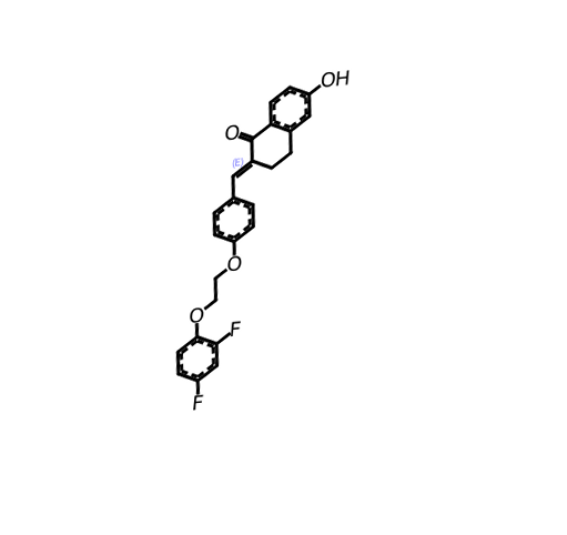 O=C1/C(=C/c2ccc(OCCOc3ccc(F)cc3F)cc2)CCc2cc(O)ccc21